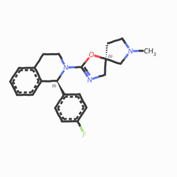 CN1CC[C@@]2(CN=C(N3CCc4ccccc4[C@@H]3c3ccc(F)cc3)O2)C1